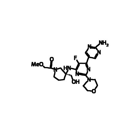 COCC(=O)N1CCC[C@](CO)(Nc2nc(N3CCOCC3)nc(-c3cnc(N)nc3)c2F)C1